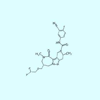 CC1Cc2nn3c(c2CN1C(=O)Nc1ccc(F)c(C#N)c1)C(=O)N(C)CC(COCC(F)F)C3